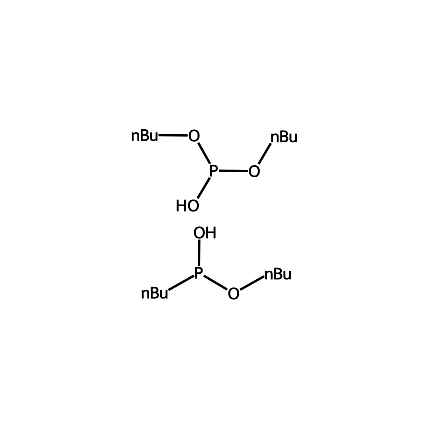 CCCCOP(O)CCCC.CCCCOP(O)OCCCC